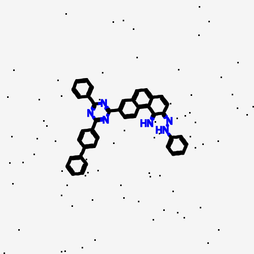 N=C1/C(=N\Nc2ccccc2)C=Cc2ccc3cc(-c4nc(-c5ccccc5)nc(-c5ccc(-c6ccccc6)cc5)n4)ccc3c21